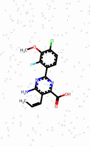 C/C=C\c1c(N)nc(-c2ccc(Cl)c(OC)c2F)nc1C(=O)O